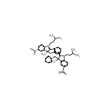 CC(C)CCN1/C(=C/C=C/C2=[N+](CCC(C)C)c3ccc([N+](=O)[O-])cc3C2(C)Cc2ccccc2)C(C)(Cc2ccccc2)c2cc([N+](=O)[O-])ccc21